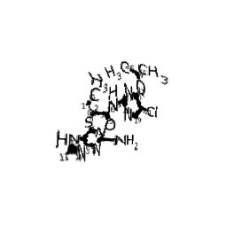 CC[C@@H](Sc1nc(N)nc2nc[nH]c12)C(=O)Nc1ncc(Cl)c(OC(C)C)n1